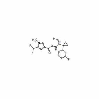 [H]/N=C(\NOC(=O)c1cc(C(F)F)n(C)n1)C1(c2cccc(F)c2)CC1